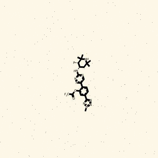 Cn1nnc(-c2ccc(-c3cnc(N[C@H]4CC(C)(C)NC(C)(C)[C@H]4F)nn3)c(OC(=O)C(F)(F)F)c2)n1